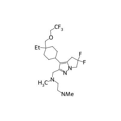 CCC1(COCC(F)(F)F)CCC(c2c(CN(C)CCNC)nn3c2CC(F)(F)C3)CC1